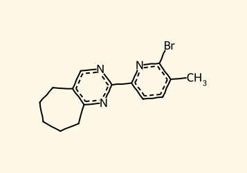 Cc1ccc(-c2ncc3c(n2)CCCCC3)nc1Br